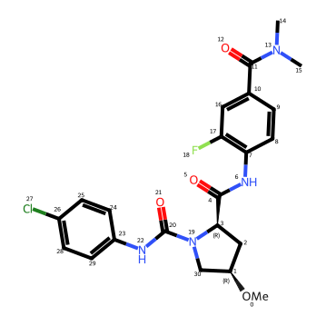 CO[C@@H]1C[C@H](C(=O)Nc2ccc(C(=O)N(C)C)cc2F)N(C(=O)Nc2ccc(Cl)cc2)C1